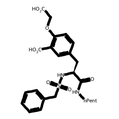 CCCCCNC(=O)[C@H](Cc1ccc(OCC(=O)O)c(C(=O)O)c1)NS(=O)(=O)Cc1ccccc1